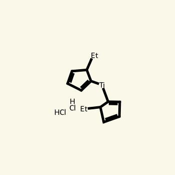 CCC1C=CC=[C]1[Ti][C]1=CC=CC1CC.Cl.Cl